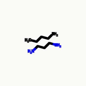 BCCCC.NCCCN